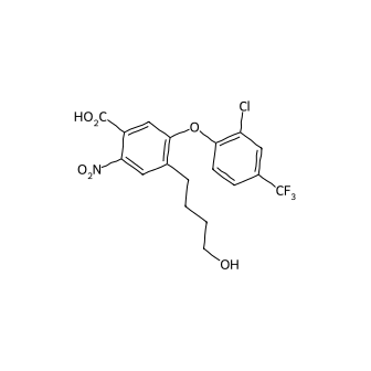 O=C(O)c1cc(Oc2ccc(C(F)(F)F)cc2Cl)c(CCCCO)cc1[N+](=O)[O-]